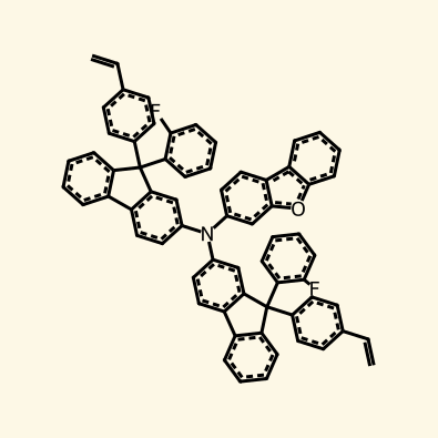 C=Cc1ccc(C2(c3ccccc3F)c3ccccc3-c3ccc(N(c4ccc5c(c4)C(c4ccc(C=C)cc4)(c4ccccc4F)c4ccccc4-5)c4ccc5c(c4)oc4ccccc45)cc32)cc1